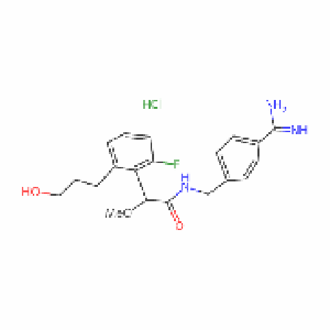 COC(C(=O)NCc1ccc(C(=N)N)cc1)c1c(F)cccc1CCCO.Cl